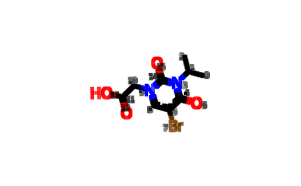 CC(C)n1c(=O)c(Br)cn(CC(=O)O)c1=O